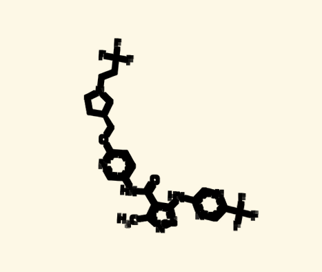 Cc1nsc(Nc2cnc(C(F)(F)F)cn2)c1C(=O)Nc1ccc(OC[C@H]2CCN(CCC(F)(F)F)C2)nc1